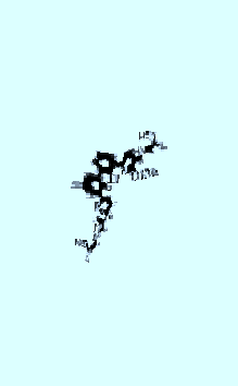 COc1nc(-c2cccc(-c3cccc(C4=NN5CC(CNC[C@H](C)O)N=C5C=C4)c3Cl)c2Cl)ccc1CNC[C@H](C)O